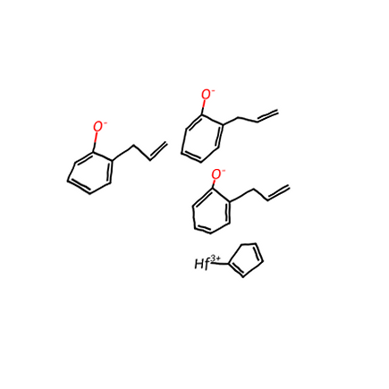 C=CCc1ccccc1[O-].C=CCc1ccccc1[O-].C=CCc1ccccc1[O-].[Hf+3][C]1=CC=CC1